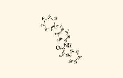 CC(C(=O)Nc1ccc(CC2=CCCCCC2)cc1)N1CCCCC1